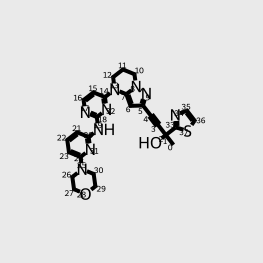 CC(O)(C#Cc1cc2n(n1)CCCN2c1ccnc(Nc2cccc(N3CCOCC3)n2)n1)c1nccs1